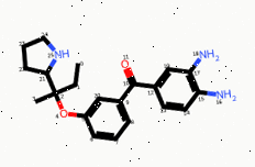 CCC(C)(Oc1cccc(C(=O)c2ccc(N)c(N)c2)c1)C1CCCN1